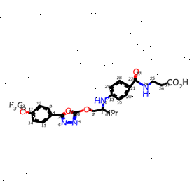 CC(C)C(COc1nnc(-c2ccc(OC(F)(F)F)cc2)o1)Nc1ccc(C(=O)NCCC(=O)O)cc1